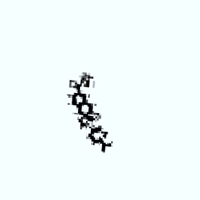 CC(C)c1ccc(N2CC[C@@]3(CCc4cc(C(=O)NO)ccc4C3)C2=O)cn1